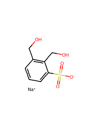 O=S(=O)([O-])c1cccc(CO)c1CO.[Na+]